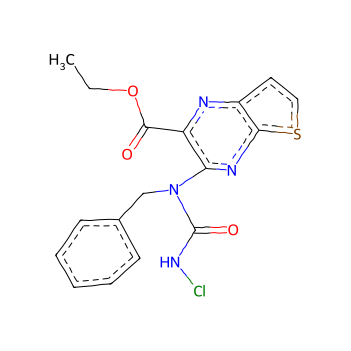 CCOC(=O)c1nc2ccsc2nc1N(Cc1ccccc1)C(=O)NCl